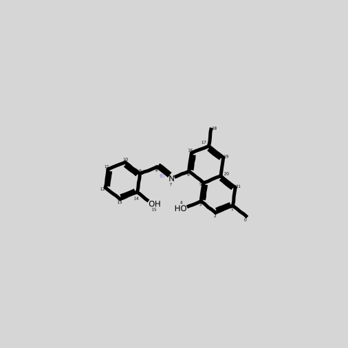 Cc1cc(O)c2c(/N=C/c3ccccc3O)cc(C)cc2c1